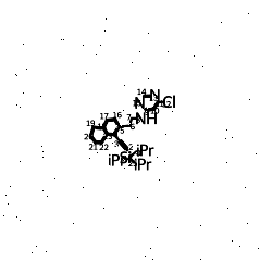 CC(C)[Si](C#Cc1c(CCNc2cc(Cl)ncn2)ccc2ccccc12)(C(C)C)C(C)C